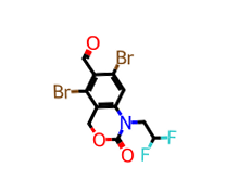 O=Cc1c(Br)cc2c(c1Br)COC(=O)N2CC(F)F